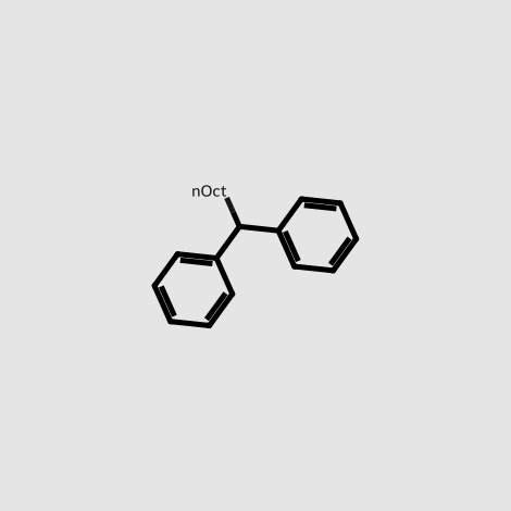 [CH2]CCCCCCCC(c1ccccc1)c1ccccc1